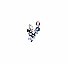 CCNc1ncc(-c2nc3ccc(N4CCOCC4)cn3n2)c2cc(C3(C(N)=O)CC3)ncc12